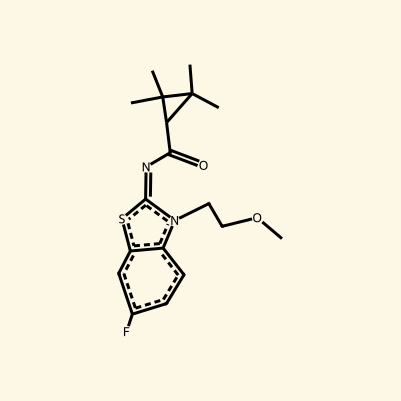 COCCn1c(=NC(=O)C2C(C)(C)C2(C)C)sc2cc(F)ccc21